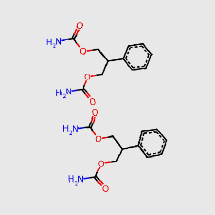 NC(=O)OCC(COC(N)=O)c1ccccc1.NC(=O)OCC(COC(N)=O)c1ccccc1